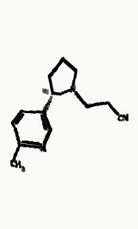 Cc1ccc([C@@H]2CCCN2CCC#N)cn1